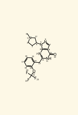 CN1CCC(n2ncc3c(=O)[nH]c(Cc4ccccc4OC(F)(F)F)nc32)C1